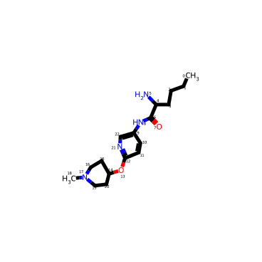 CCCCC(N)C(=O)Nc1ccc(OC2CCN(C)CC2)nc1